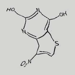 O=[N+]([O-])c1csc2c(O)nc(O)nc12